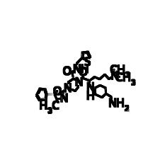 C[C@@H]1N=C(N2CCN(C(=O)[C@@H](CCCCN(C)C)NC3CCC(CN)CC3)[C@H](C(=O)NCc3cccs3)C2)O[C@H]1c1ccccc1